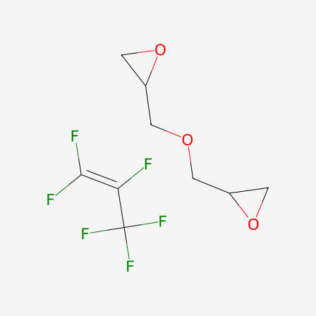 C(OCC1CO1)C1CO1.FC(F)=C(F)C(F)(F)F